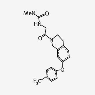 CNC(=O)NCC(=O)N1CCc2ccc(Oc3ccc(C(F)(F)F)cc3)cc2C1